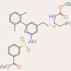 COC(=O)c1cccc(S(=O)(=O)Nc2cc(CC[C@@H](CC(C)C)NC(=O)OC(C)(C)C)cc(-c3c(C)cccc3C)n2)c1